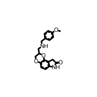 COc1ccc(CNCC2COc3ccc4c(c3O2)CC(=O)N4)cc1